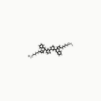 CCCCCCc1ccc(C(=Cc2ccccc2)c2ccnc(-c3cc(C(=Cc4ccccc4)c4ccc(CCCCCC)s4)ccn3)c2)s1